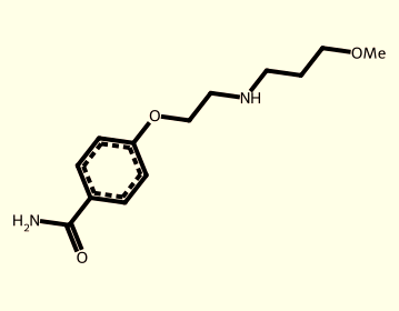 COCCCNCCOc1ccc(C(N)=O)cc1